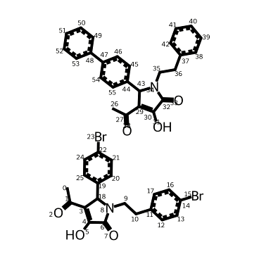 CC(=O)C1=C(O)C(=O)N(CCc2ccc(Br)cc2)C1c1ccc(Br)cc1.CC(=O)C1=C(O)C(=O)N(CCc2ccccc2)C1c1ccc(-c2ccccc2)cc1